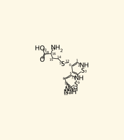 C1=CNSC=C1.C1=CNSC=C1.CSCCC(N)C(=O)O.[NaH].[NaH]